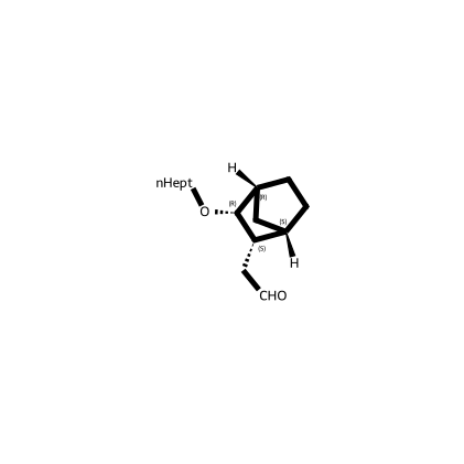 CCCCCCCO[C@@H]1[C@@H]2CC[C@@H](C2)[C@@H]1CC=O